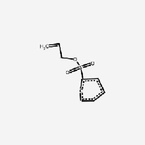 C=C[CH]OS(=O)(=O)c1ccccc1